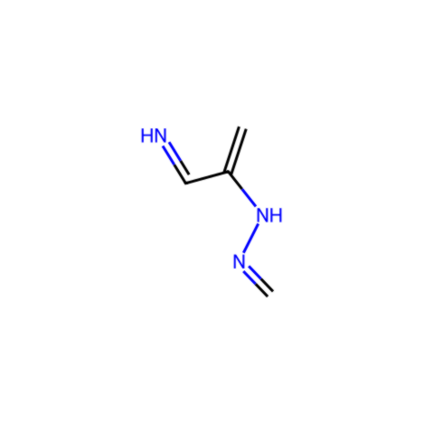 C=NNC(=C)C=N